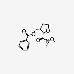 CON(C)C(=O)[C@@H]1OCC[C@H]1COC(=O)c1ccccc1